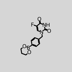 O=c1[nH]c(=O)n(Cc2ccc(B3OCCCO3)cc2)cc1F